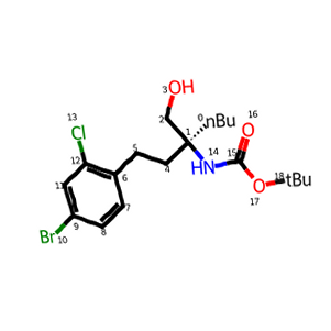 CCCC[C@@](CO)(CCc1ccc(Br)cc1Cl)NC(=O)OC(C)(C)C